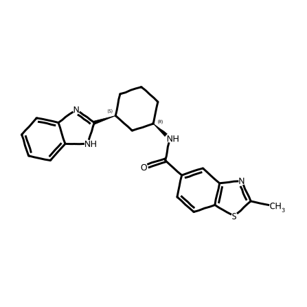 Cc1nc2cc(C(=O)N[C@@H]3CCC[C@H](c4nc5ccccc5[nH]4)C3)ccc2s1